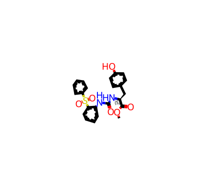 COC(=O)[C@H](Cc1ccc(O)cc1)NC(=O)Nc1ccccc1S(=O)(=O)c1ccccc1